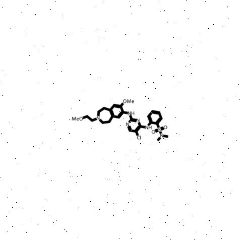 COCCN1CCc2cc(Nc3ncc(Cl)c(Nc4ccccc4S(=O)(=O)N(C)C)n3)c(OC)cc2CC1